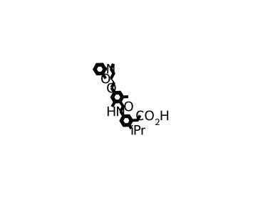 Cc1cc(OC[C@@H]2CN(C)c3ccccc3O2)cc(C)c1C(=O)Nc1ccc(C(C)C)c(CC(=O)O)c1